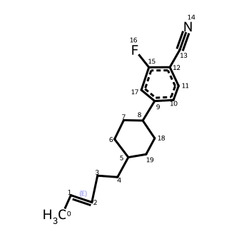 C/C=C/CCC1CCC(c2ccc(C#N)c(F)c2)CC1